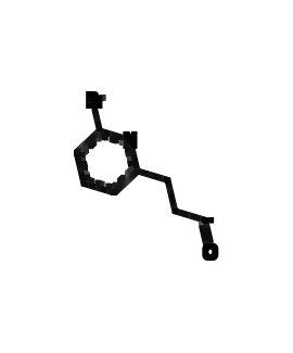 O=[C]CCc1cccc(Br)n1